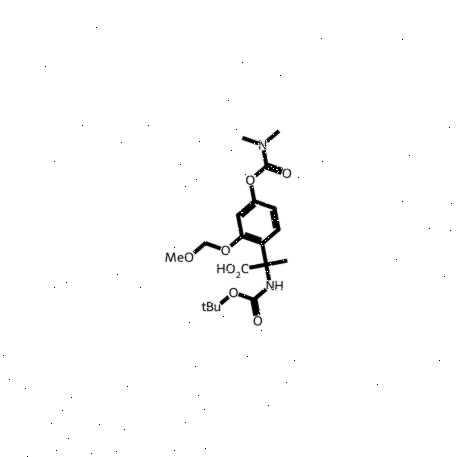 COCOc1cc(OC(=O)N(C)C)ccc1C(C)(NC(=O)OC(C)(C)C)C(=O)O